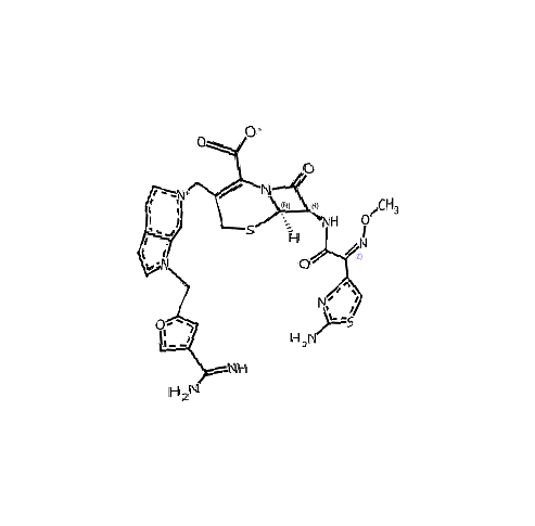 CO/N=C(\C(=O)N[C@@H]1C(=O)N2C(C(=O)[O-])=C(C[n+]3ccc4ccn(Cc5cc(C(=N)N)co5)c4c3)CS[C@H]12)c1csc(N)n1